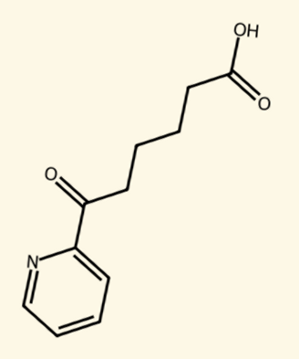 O=C(O)CCCCC(=O)c1ccccn1